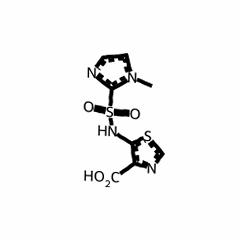 Cn1ccnc1S(=O)(=O)Nc1scnc1C(=O)O